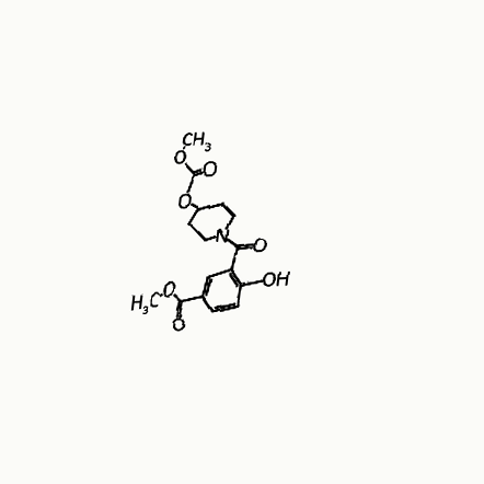 COC(=O)OC1CCN(C(=O)c2cc(C(=O)OC)ccc2O)CC1